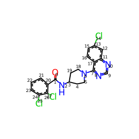 O=C(NC1CCN(c2ncnc3cc(Cl)ccc23)CC1)c1cccc(Cl)c1Cl